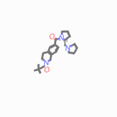 CC(C)(C)C(=O)N1CCc2cc(C(=O)N3CCC[C@H]3CN3CCCC3)ccc2C1